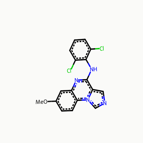 COc1ccc2c(c1)nc(Nc1c(Cl)cccc1Cl)c1cncn12